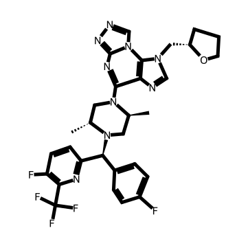 C[C@@H]1CN(c2nc3nncn3c3c2ncn3C[C@@H]2CCCO2)[C@@H](C)CN1[C@@H](c1ccc(F)cc1)c1ccc(F)c(C(F)(F)F)n1